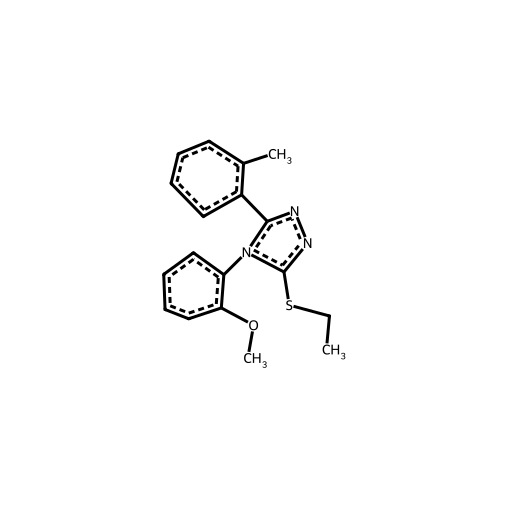 CCSc1nnc(-c2ccccc2C)n1-c1ccccc1OC